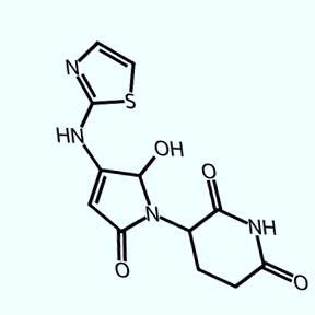 O=C1CCC(N2C(=O)C=C(Nc3nccs3)C2O)C(=O)N1